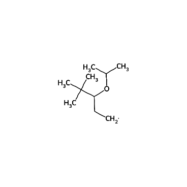 [CH2]CC(OC(C)C)C(C)(C)C